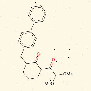 COC(OC)C(=O)C1CCCC(Cc2ccc(-c3ccccc3)cc2)C1=O